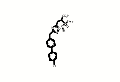 CCOP(=O)(OCC)C(Cc1nc(Cc2ccc(-c3ccc(Cl)cc3)cc2)no1)C(=O)O